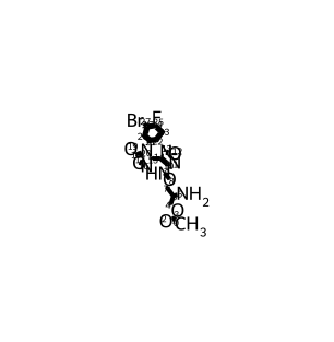 CC(=O)OCC(N)CONc1nonc1-c1noc(=O)n1-c1ccc(F)c(Br)c1